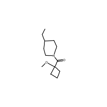 CCC1CCN(C(=O)C2(OC)CCC2)CC1